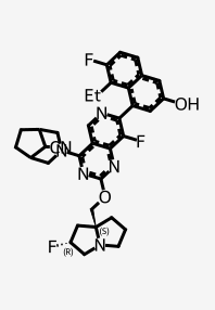 CCc1c(F)ccc2cc(O)cc(-c3ncc4c(N5CC6CCC(C5)C6C#N)nc(OC[C@@]56CCCN5C[C@H](F)C6)nc4c3F)c12